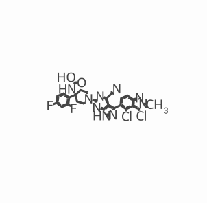 Cn1nc2ccc(-c3n[nH]c4nc(N5CCC(NC(=O)O)(c6ccc(F)cc6F)CC5)nc(C#N)c34)c(Cl)c2c1Cl